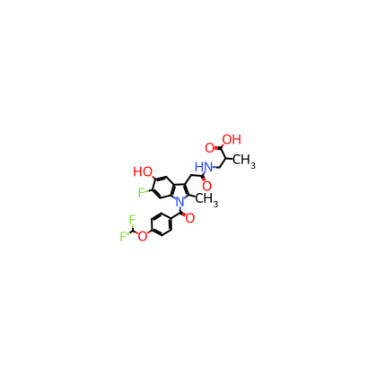 Cc1c(CC(=O)NCC(C)C(=O)O)c2cc(O)c(F)cc2n1C(=O)c1ccc(OC(F)F)cc1